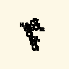 CCc1ccc(C(CC(C)C)N(C)S(=O)(=O)c2ccc(CC3(C)N=c4ccncc4=N3)cc2)nn1